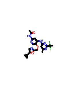 CC(=O)Nc1cc(Nc2cc(C)nc(C(C)(F)F)n2)c(OCc2ncc(C3CC3)o2)cn1